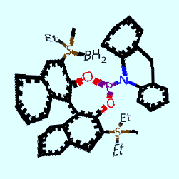 BS(C)(CC)c1cc2ccccc2c2c1op(N1c3ccccc3Cc3ccccc31)oc1c(S(C)(CC)CC)cc3ccccc3c12